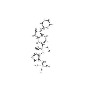 OC(CF)(Cc1sccc1OC(F)(F)F)c1ccc2c(cnn2-c2ccccc2)c1